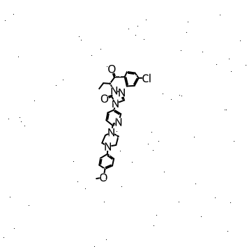 CCC(C(=O)c1ccc(Cl)cc1)n1ncn(-c2ccc(N3CCN(c4ccc(OC)cc4)CC3)nc2)c1=O